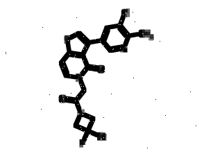 CCC1(F)CN(C(=O)Cn2ccc3scc(-c4cnc(C)c(Cl)c4)c3c2=O)C1